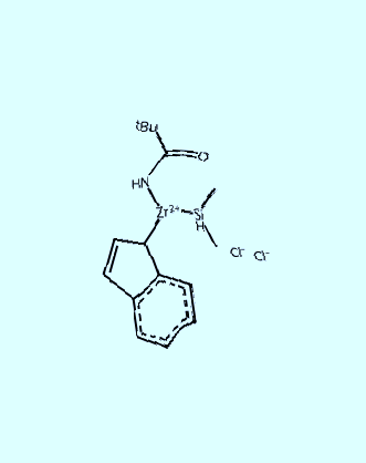 C[SiH](C)[Zr+2]([NH]C(=O)C(C)(C)C)[CH]1C=Cc2ccccc21.[Cl-].[Cl-]